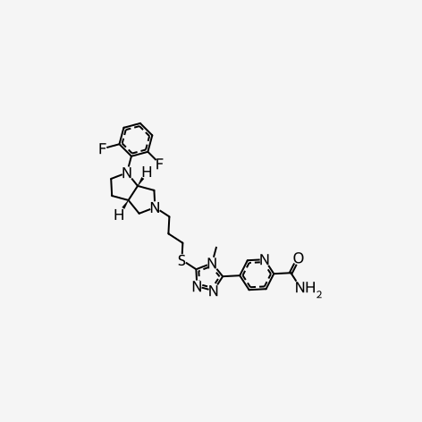 Cn1c(SCCCN2C[C@@H]3CCN(c4c(F)cccc4F)[C@@H]3C2)nnc1-c1ccc(C(N)=O)nc1